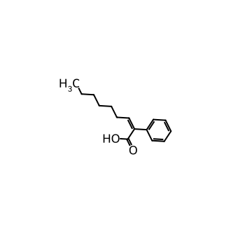 CCCCCCC=C(C(=O)O)c1ccccc1